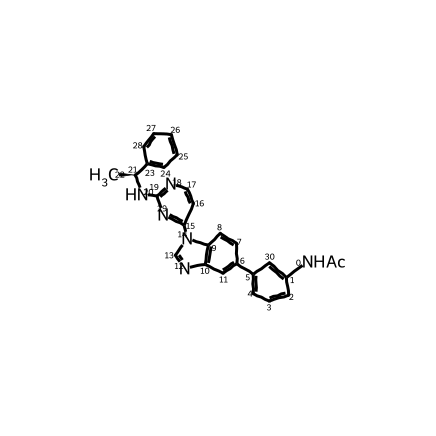 CC(=O)Nc1cccc(-c2ccc3c(c2)ncn3-c2ccnc(N[C@@H](C)c3ccccc3)n2)c1